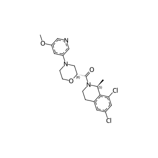 COc1cncc(N2CCO[C@@H](C(=O)N3CCc4cc(Cl)cc(Cl)c4[C@@H]3C)C2)c1